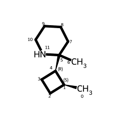 C[C@H]1CC[C@H]1C1(C)CCCCN1